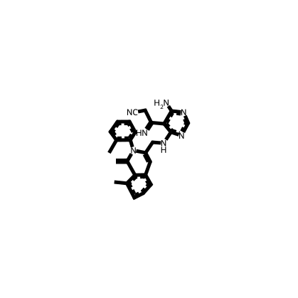 C=C1c2c(C)cccc2C=C(CNc2ncnc(N)c2C(=N)CC#N)N1c1ccccc1C